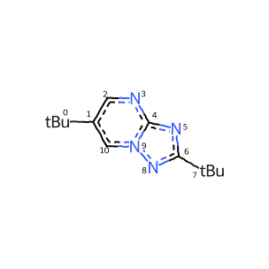 CC(C)(C)c1cnc2nc(C(C)(C)C)nn2c1